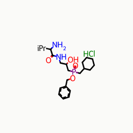 CC(C)C(N)C(=O)NCC(O)CP(=O)(CC1CCCCC1)OCc1ccccc1.Cl